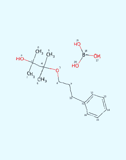 CC(C)(O)C(C)(C)OCCCc1ccccc1.OB(O)O